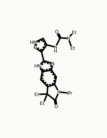 CCN(CC)C(=O)Nc1c[nH]nc1-c1nc2cc3c(cc2[nH]1)C(CC)(CC)C(=O)N3C(C)C